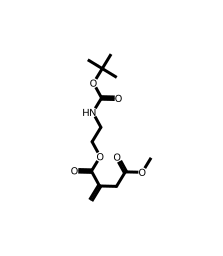 C=C(CC(=O)OC)C(=O)OCCNC(=O)OC(C)(C)C